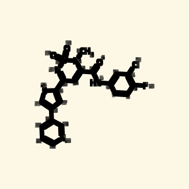 CN1C(C(=O)Nc2ccc(F)c(Cl)c2)=CC(c2cc(-c3cccnc3)cs2)=NS1(=O)=O